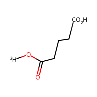 [2H]OC(=O)CCCC(=O)O